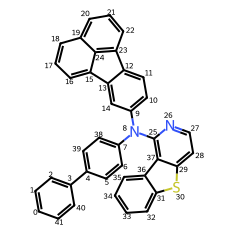 c1ccc(-c2ccc(N(c3ccc4c(c3)-c3cccc5cccc-4c35)c3nccc4sc5ccccc5c34)cc2)cc1